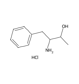 CC(O)C(N)Cc1ccccc1.Cl